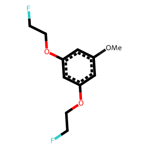 COc1cc(OCCF)cc(OCCF)c1